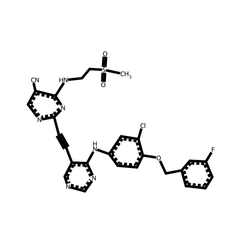 CS(=O)(=O)CCNc1nc(C#Cc2cncnc2Nc2ccc(OCc3cccc(F)c3)c(Cl)c2)ncc1C#N